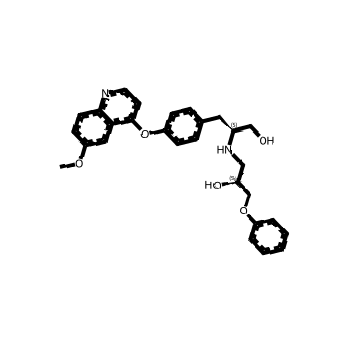 COc1ccc2nccc(Oc3ccc(C[C@@H](CO)NC[C@H](O)COc4ccccc4)cc3)c2c1